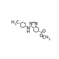 COC(=O)c1ccc2c(Nc3ccc(C)cc3)ncnc2c1